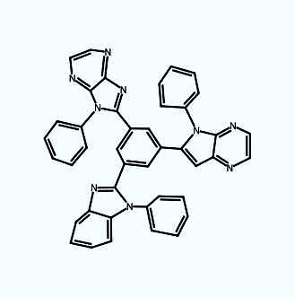 c1ccc(-n2c(-c3cc(-c4cc5nccnc5n4-c4ccccc4)cc(-c4nc5nccnc5n4-c4ccccc4)c3)nc3ccccc32)cc1